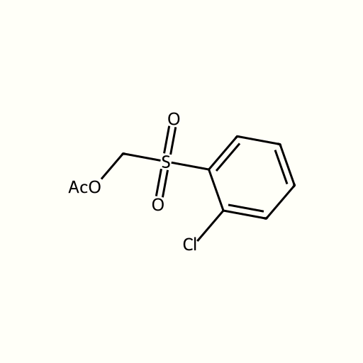 CC(=O)OCS(=O)(=O)c1ccccc1Cl